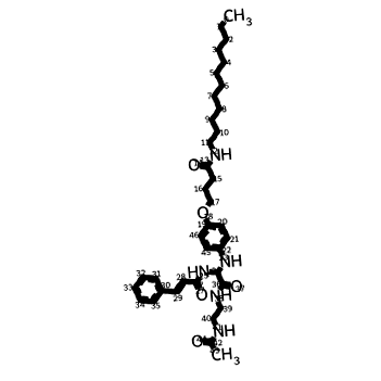 CCCCCCCCCCCCNC(=O)CCCOc1ccc(NC(NC(=O)C=Cc2ccccc2)C(=O)NCCNC(C)=O)cc1